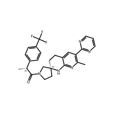 Cc1nc2c(cc1-c1ncccn1)CC[C@@]1(CCN(C(=O)[C@H](C)c3ccc(C(F)(F)F)cc3)C1)N2